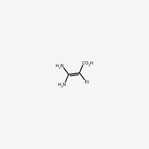 CCC(C(=O)O)=C(N)N